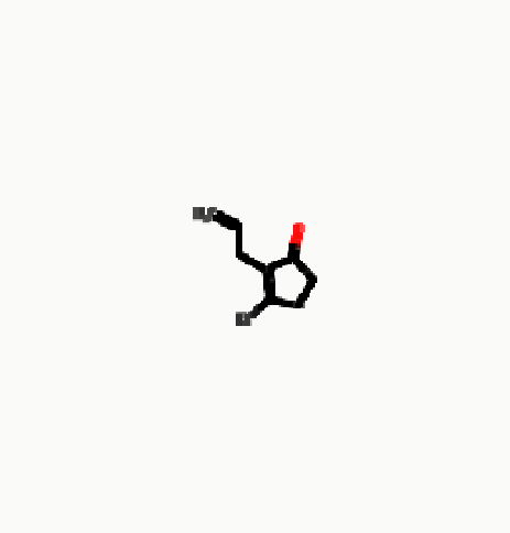 C=CCC1=C(CC)[CH]CC1=O